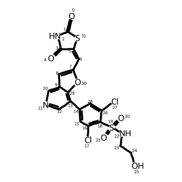 O=C1NC(=O)/C(=C\c2cc3cncc(-c4cc(Cl)c(S(=O)(=O)NCCO)c(Cl)c4)c3o2)S1